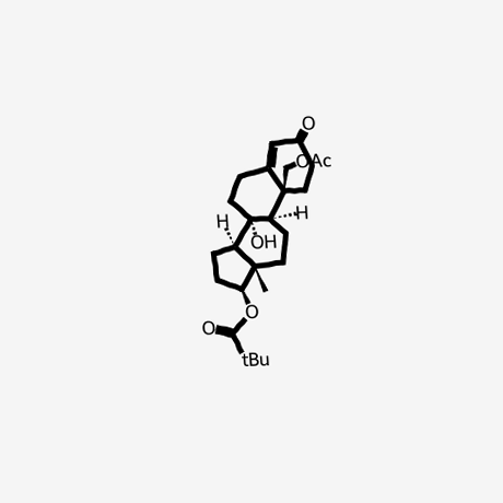 CC(=O)OC[C@]12CCC(=O)C=C1CC[C@@]1(O)[C@@H]2CC[C@]2(C)[C@@H](OC(=O)C(C)(C)C)CC[C@H]21